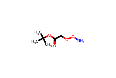 CC(C)(C)OC(=O)COON